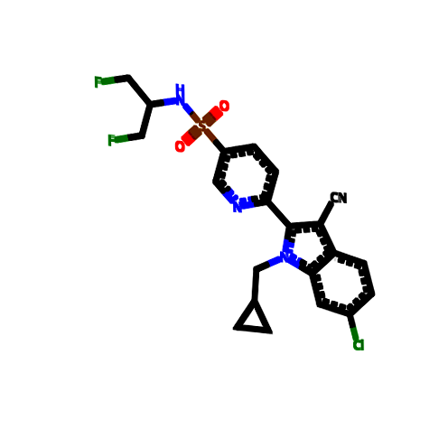 N#Cc1c(-c2ccc(S(=O)(=O)NC(CF)CF)cn2)n(CC2CC2)c2cc(Cl)ccc12